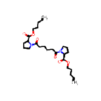 C=CCCCOC(=O)C1CCCN1C(=O)CCCCC(=O)N1CCCC1C(=O)OCCCC=C